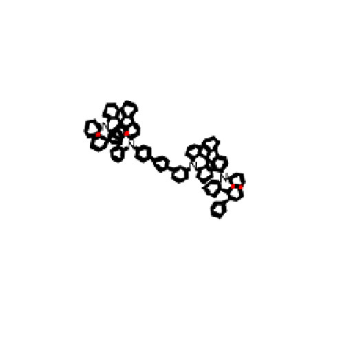 c1ccc(-c2ccccc2-c2ccccc2N(c2ccc(-c3ccc(-c4cccc(N5c6ccccc6C6(c7ccccc7-c7ccc(N(c8ccccc8)c8ccccc8-c8ccccc8-c8ccccc8)cc76)c6ccccc65)c4)cc3)cc2)c2ccc3c(c2)C2(c4ccccc4-3)c3ccccc3N(c3ccccc3)c3ccccc32)cc1